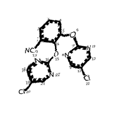 N#Cc1cccc(Oc2ncc(Cl)cn2)c1Oc1ncc(Cl)cn1